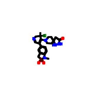 CN1c2ccc(C3=C(N4CCC5(CC4)CC(=O)NN5)C(C)(Cl)CN=C3)cc2CS1(=O)=O